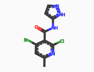 Cc1cc(Br)c(C(=O)Nc2ccn[nH]2)c(Cl)n1